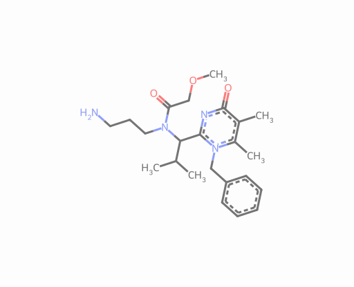 COCC(=O)N(CCCN)C(c1nc(=O)c(C)c(C)n1Cc1ccccc1)C(C)C